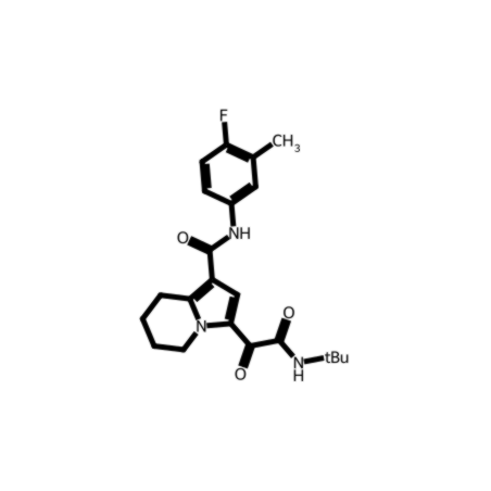 Cc1cc(NC(=O)c2cc(C(=O)C(=O)NC(C)(C)C)n3c2CCCC3)ccc1F